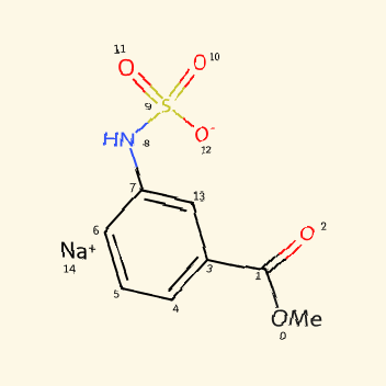 COC(=O)c1cccc(NS(=O)(=O)[O-])c1.[Na+]